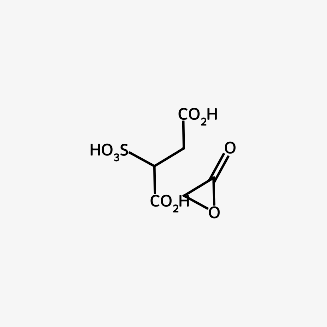 O=C(O)CC(C(=O)O)S(=O)(=O)O.O=C1CO1